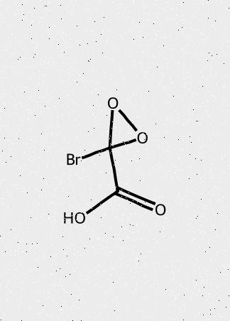 O=C(O)C1(Br)OO1